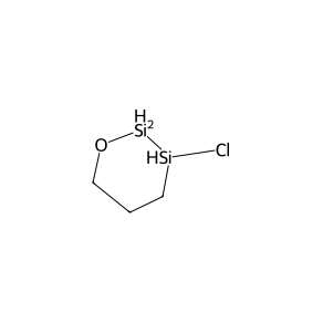 Cl[SiH]1CCCO[SiH2]1